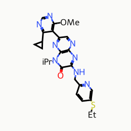 CCSc1ccc(CNc2nc3ncc(-c4c(OC)ncnc4C4CC4)nc3n(C(C)C)c2=O)nc1